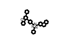 c1ccc(-c2cc(-c3ccc(-c4nc(-c5ccccc5)nc(-c5ccc6c(ccc7ccccc76)c5)n4)cc3)c3c(c2)oc2ccccc23)cc1